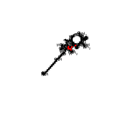 CCCC[C@H](NC(=O)[C@H](CCCCN(CC(=O)O)CC(=O)O)NC(=O)[C@H](Cc1c[nH]cn1)NC(=O)[C@H](CCC(N)=O)NC(=O)[C@H](CO)NC(=O)CNC(=O)COCCOCCNC(=O)CCCCCCCCCCCCCCCc1nnn[nH]1)C(=O)N[C@H]1CCC(=O)NCCCC[C@@H](C(N)=O)NC(=O)[C@H](Cc2c[nH]c3ccccc23)NC(=O)[C@H](CCCNC(=N)N)NC(=O)[C@@H](Cc2ccccc2)NC(=O)[C@@H]2C[C@@H](O)CN2C1=O